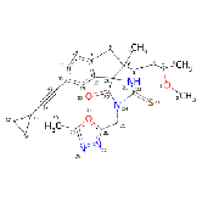 COC(C)CCC1(C)Cc2ccc(C#CC3CC3)cc2C12NC(=S)N(Cc1nnc(C)o1)C2=O